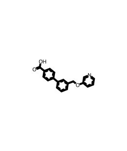 O=C(O)c1ccc(-c2cccc(COc3cccnc3)c2)cc1